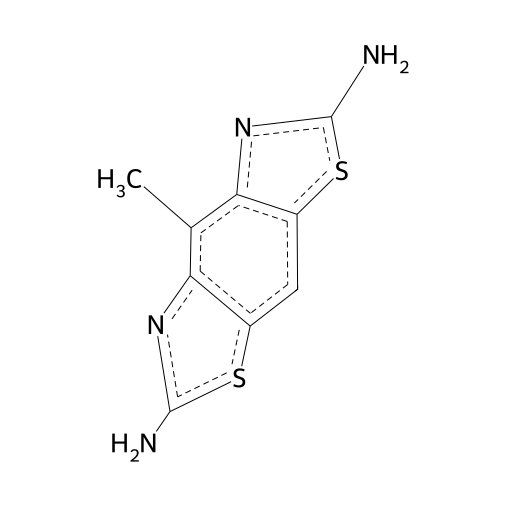 Cc1c2nc(N)sc2cc2sc(N)nc12